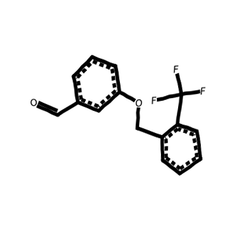 O=Cc1cccc(OCc2ccccc2C(F)(F)F)c1